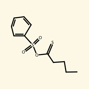 CCCCC(=S)OS(=O)(=O)c1ccccc1